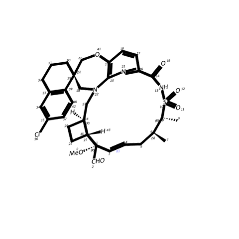 CO[C@@]1(C=O)/C=C/C[C@H](C)[C@@H](C)S(=O)(=O)NC(=O)c2ccc3c(n2)N(C[C@@H]2CC[C@H]21)C[C@@]1(CCCc2cc(Cl)ccc21)CO3